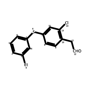 CCc1cccc(Sc2ccc(CC=O)c(Cl)c2)c1